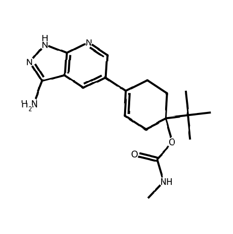 CNC(=O)OC1(C(C)(C)C)CC=C(c2cnc3[nH]nc(N)c3c2)CC1